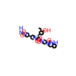 C=Cc1cc(C[C@@H](OC(=O)N2CCC(N3CCc4ccccc4NC3=O)CC2)C(=O)N2CCC(C3CCN(S(=O)(=O)NC)CC3)CC2)ccc1O